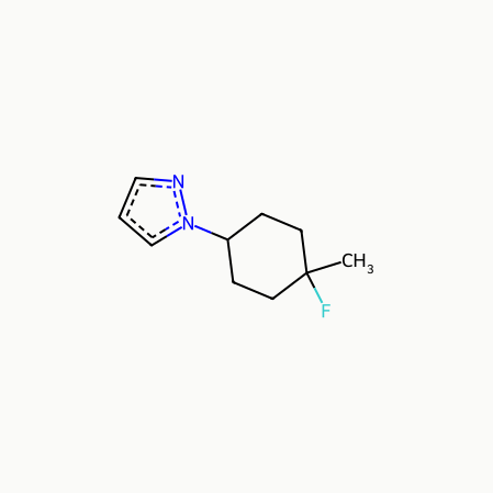 CC1(F)CCC(n2cccn2)CC1